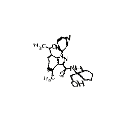 CC1CCC(C(C)C)c2c1c(C(=O)NC1(CO)CCCC1)nn2-c1cnccn1